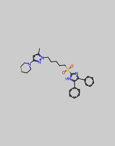 Cc1cc(N2CCCCC2)nn1CCCCCS(=O)(=O)c1nc(-c2ccccc2)c(-c2ccccc2)[nH]1